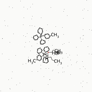 Br.CCCC[SiH](CCCC)P(c1ccccc1)(c1ccccc1)(c1ccccc1)c1ccc(C)cc1.Cc1ccc([P+](c2ccccc2)(c2ccccc2)c2ccccc2)cc1.[Br-]